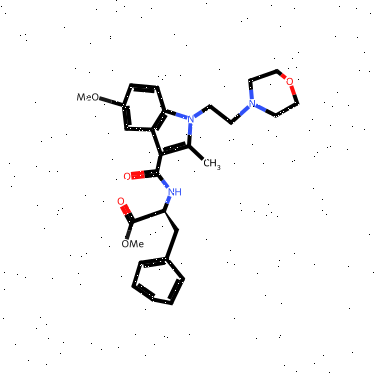 COC(=O)[C@H](Cc1ccccc1)NC(=O)c1c(C)n(CCN2CCOCC2)c2ccc(OC)cc12